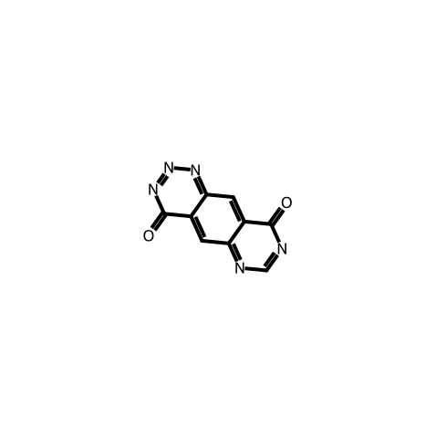 O=C1N=CN=c2cc3c(cc21)=NN=NC3=O